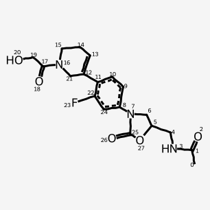 CC(=O)NCC1CN(c2ccc(C3=CCCN(C(=O)CO)C3)c(F)c2)C(=O)O1